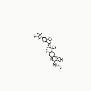 CN(C(=O)c1cc2c(cc1F)nc(N)c1cncn12)[C@@H]1COc2cc(C3(C)CC3(F)F)ccc21